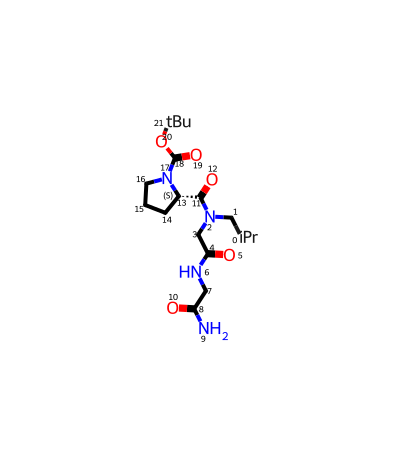 CC(C)CN(CC(=O)NCC(N)=O)C(=O)[C@@H]1CCCN1C(=O)OC(C)(C)C